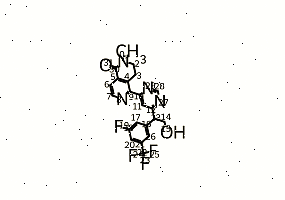 CN1CCc2c(ccnc2-c2cc(C(CO)c3cc(F)cc(C(F)(F)F)c3)ncn2)C1=O